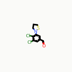 O=Cc1cc(Cl)c(Cl)c(N2CCCS2)c1